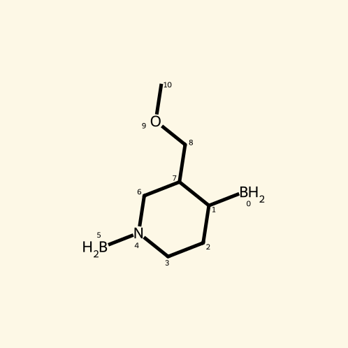 BC1CCN(B)CC1COC